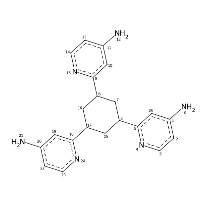 Nc1ccnc(C2CC(c3cc(N)ccn3)CC(c3cc(N)ccn3)C2)c1